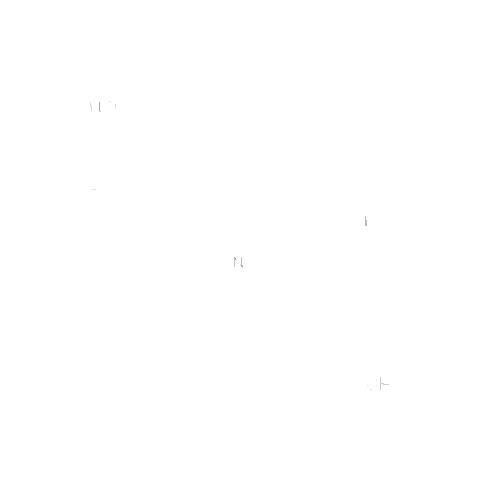 Oc1ccc2nc(-c3ccc(O)c(F)c3)cc(I)c2c1